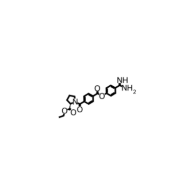 CCOC(=O)[C@H]1CCCN1C(=O)c1ccc(C(=O)Oc2ccc(C(=N)N)cc2)cc1